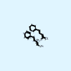 CCC(=CC=Cc1ccccc1)C(=O)O.N#CC=CC=Cc1ccccc1